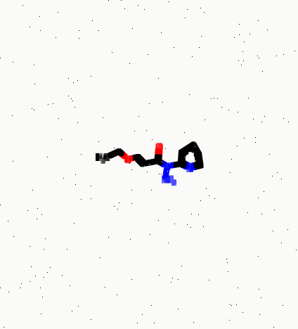 CCO/C=C/C(=O)N(N)c1ccccn1